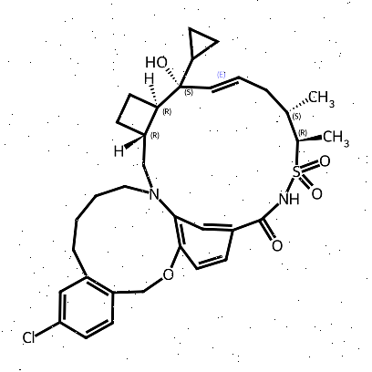 C[C@@H]1[C@@H](C)C/C=C/[C@](O)(C2CC2)[C@@H]2CC[C@H]2CN2CCCCc3cc(Cl)ccc3COc3ccc(cc32)C(=O)NS1(=O)=O